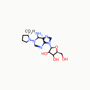 NC1c2ncn([C@H]3O[C@@H](CO)C(O)C3O)c2N=CN1N1CCC[C@@H]1C(=O)O